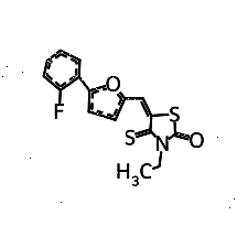 CCN1C(=O)SC(=Cc2ccc(-c3ccccc3F)o2)C1=S